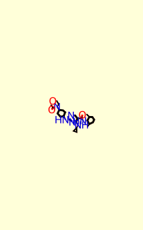 Cc1cccc(C)c1NC(=O)c1cnc(Nc2ccc(N3CCOCC3=O)cc2)nc1NC1CC1